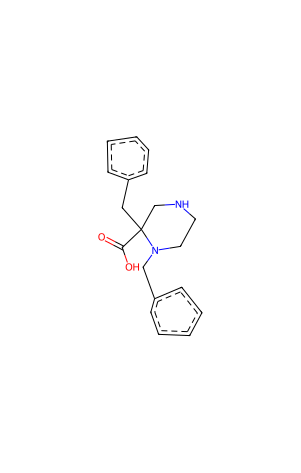 O=C(O)C1(Cc2ccccc2)CNCCN1Cc1ccccc1